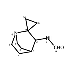 O=CNC1C2CCN(CC2)C12CC2